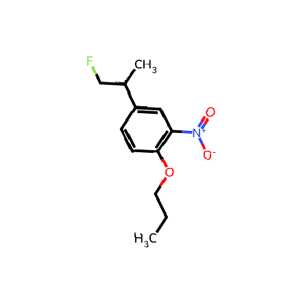 CCCOc1ccc([C](C)CF)cc1[N+](=O)[O-]